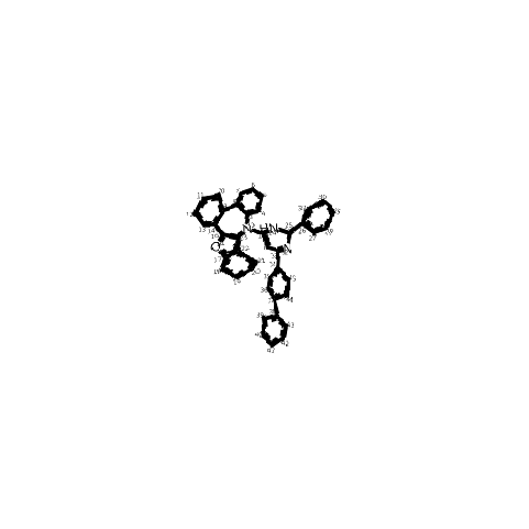 C1=C(N2c3ccccc3-c3ccccc3-c3oc4ccccc4c32)NC(c2ccccc2)N=C1c1ccc(-c2ccccc2)cc1